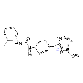 CCCCN/N=C(\NN)c1ccc(NC(=O)Nc2ccccc2C)cc1